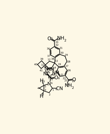 N#CC1C[C@@H]2C[C@@H]2N1C(=O)CNC1(CC2(c3nnn[nH]3)c3ccc(C(N)=O)cc3CCc3cc(C(N)=O)ccc32)CCC1